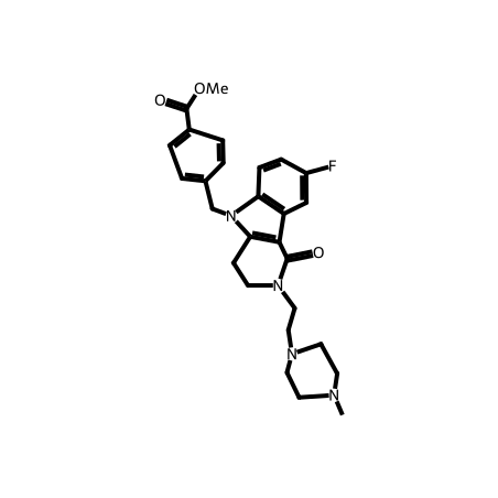 COC(=O)c1ccc(Cn2c3c(c4cc(F)ccc42)C(=O)N(CCN2CCN(C)CC2)CC3)cc1